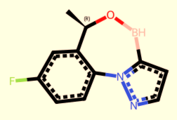 C[C@H]1OBc2ccnn2-c2ccc(F)cc21